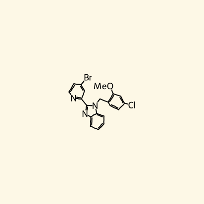 COc1cc(Cl)ccc1Cn1c(-c2cc(Br)ccn2)nc2ccccc21